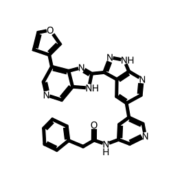 O=C(Cc1ccccc1)Nc1cncc(-c2cnc3[nH]nc(-c4nc5c(-c6ccoc6)cncc5[nH]4)c3c2)c1